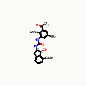 COc1cccc2c1[C@H](O)[C@H](NC(=O)Nc1cc(C(C)(C)C)cc([C@@H](O)C(F)(F)F)c1OC)C2